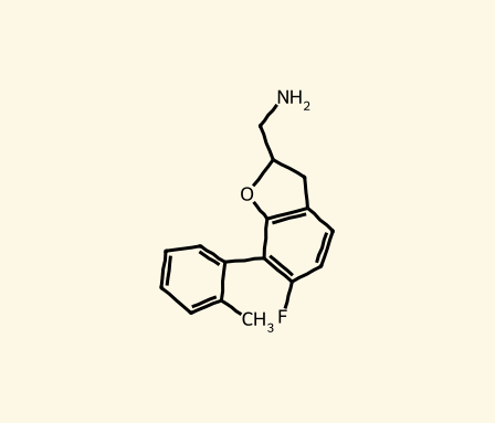 Cc1ccccc1-c1c(F)ccc2c1OC(CN)C2